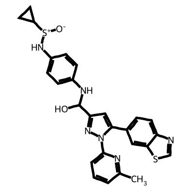 Cc1cccc(-n2nc(C(O)Nc3ccc(N[S+]([O-])C4CC4)cc3)cc2-c2ccc3ncsc3c2)n1